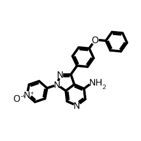 Nc1cncc2c1c(-c1ccc(Oc3ccccc3)cc1)nn2-c1cc[n+]([O-])cc1